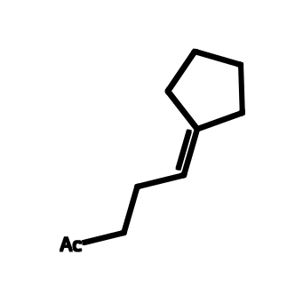 CC(=O)CCC=C1CCCC1